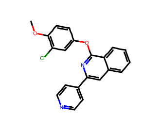 COc1ccc(Oc2nc(-c3ccncc3)cc3ccccc23)cc1Cl